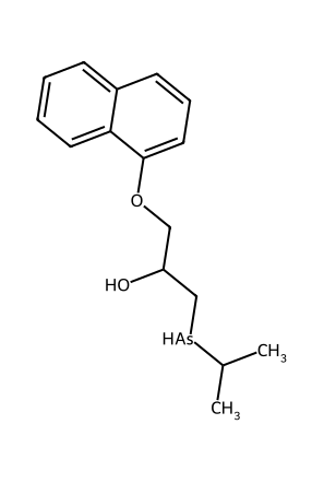 CC(C)[AsH]CC(O)COc1cccc2ccccc12